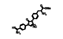 COC(=O)C(N)Cc1ccc(-n2ccn(-c3ccc(C(=N)N)cc3)c2=O)cc1.Cl.Cl